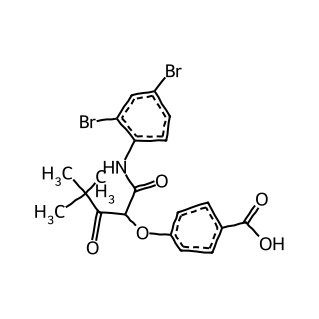 CC(C)(C)C(=O)C(Oc1ccc(C(=O)O)cc1)C(=O)Nc1ccc(Br)cc1Br